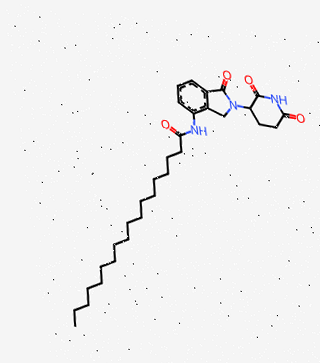 CCCCCCCCCCCCCCCCCC(=O)Nc1cccc2c1CN(C1CCC(=O)NC1=O)C2=O